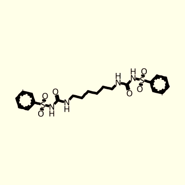 O=C(NCCCCCCNC(=O)NS(=O)(=O)c1c[c]ccc1)NS(=O)(=O)c1c[c]ccc1